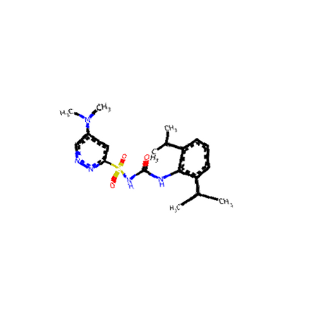 CC(C)c1cccc(C(C)C)c1NC(=O)NS(=O)(=O)c1cc(N(C)C)cnn1